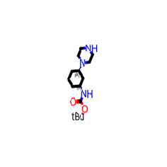 CC(C)(C)OC(=O)N[C@@H]1CCC[C@@H](N2CCNCC2)C1